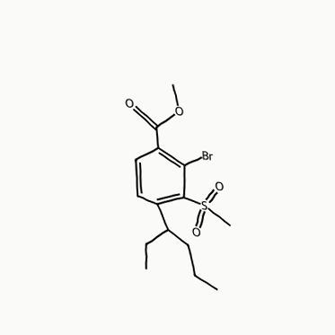 CCCC(CC)c1ccc(C(=O)OC)c(Br)c1S(C)(=O)=O